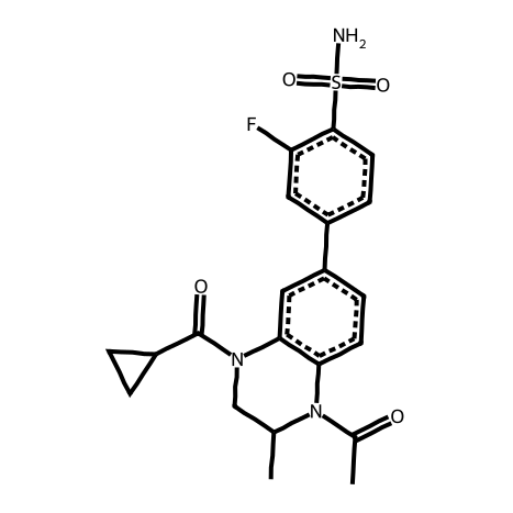 CC(=O)N1c2ccc(-c3ccc(S(N)(=O)=O)c(F)c3)cc2N(C(=O)C2CC2)CC1C